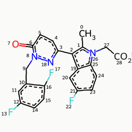 Cc1c(-c2ccc(=O)n(Cc3cc(F)ccc3F)n2)c2cc(F)ccc2n1CC(=O)O